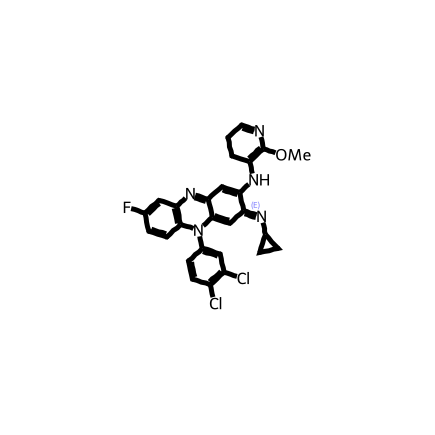 COC1=C(Nc2cc3nc4cc(F)ccc4n(-c4ccc(Cl)c(Cl)c4)c-3c/c2=N\C2CC2)CCC=N1